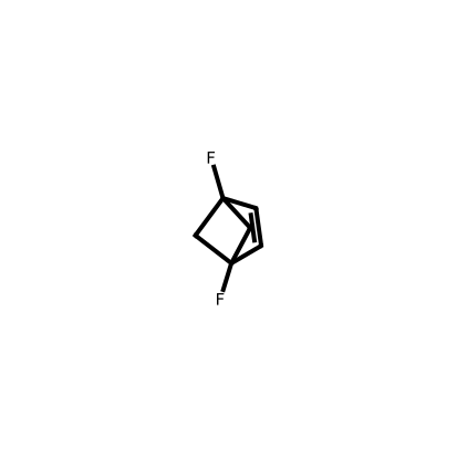 FC12C=CC(F)(C1)C2